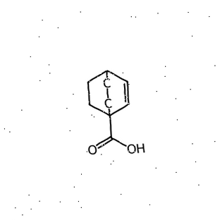 O=C(O)C12C=CC(CC1)CC2